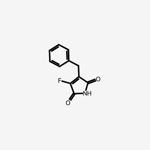 O=C1NC(=O)C(Cc2ccccc2)=C1F